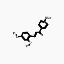 CNc1ccc(C(=O)/C=C/c2ccc(OC(C)C)cc2OC(C)C)cc1